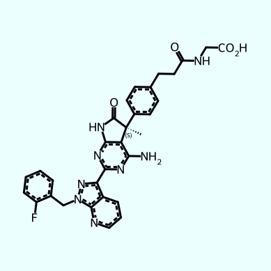 C[C@@]1(c2ccc(CCC(=O)NCC(=O)O)cc2)C(=O)Nc2nc(-c3nn(Cc4ccccc4F)c4ncccc34)nc(N)c21